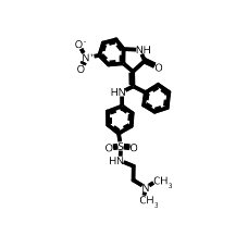 CN(C)CCNS(=O)(=O)c1ccc(NC(=C2C(=O)Nc3ccc([N+](=O)[O-])cc32)c2ccccc2)cc1